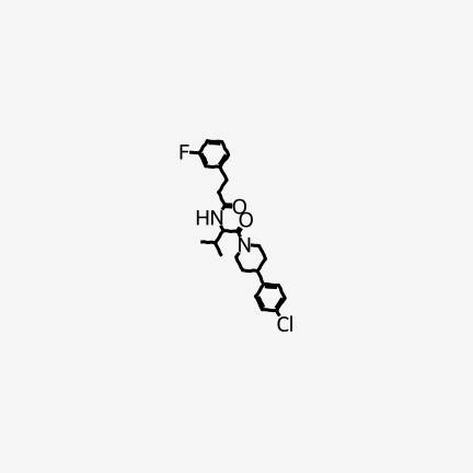 CC(C)C(NC(=O)CCc1cccc(F)c1)C(=O)N1CCC(c2ccc(Cl)cc2)CC1